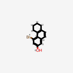 Oc1cc(Br)c2c3c(ccc2c1)CCCC3